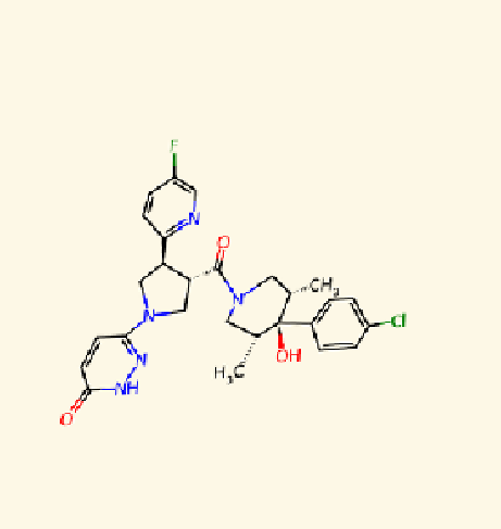 C[C@@H]1CN(C(=O)[C@@H]2CN(c3ccc(=O)[nH]n3)C[C@H]2c2ccc(F)cn2)C[C@H](C)[C@]1(O)c1ccc(Cl)cc1